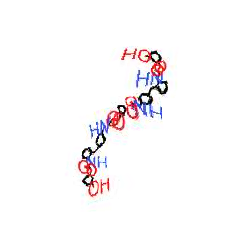 O=C(Nc1ccc(Cc2ccccc2NCOOc2cccc(O)c2)cc1)Oc1cccc(OOCNc2ccc(Cc3ccccc3NC(=O)Oc3cccc(O)c3)cc2)c1